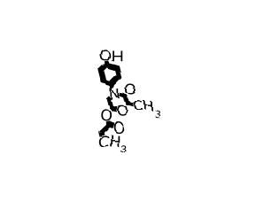 CCC(=O)OC(=O)CN(C(=O)CC)c1ccc(O)cc1